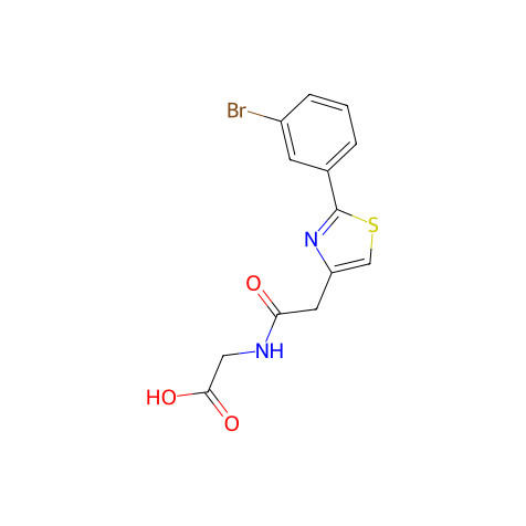 O=C(O)CNC(=O)Cc1csc(-c2cccc(Br)c2)n1